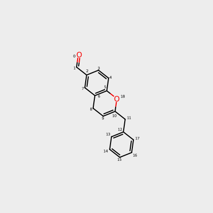 O=Cc1ccc2c(c1)CC=C(Cc1ccccc1)O2